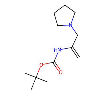 C=C(CN1CCCC1)NC(=O)OC(C)(C)C